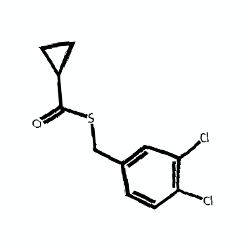 O=C(SCc1ccc(Cl)c(Cl)c1)C1CC1